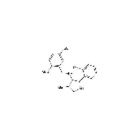 COc1ccc(C(C)(C)C)cc1CNC1C(c2ccccc2C(C)C)NCC1C(C)(C)C